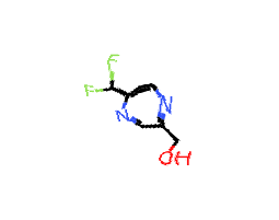 OCc1cnc(C(F)F)cn1